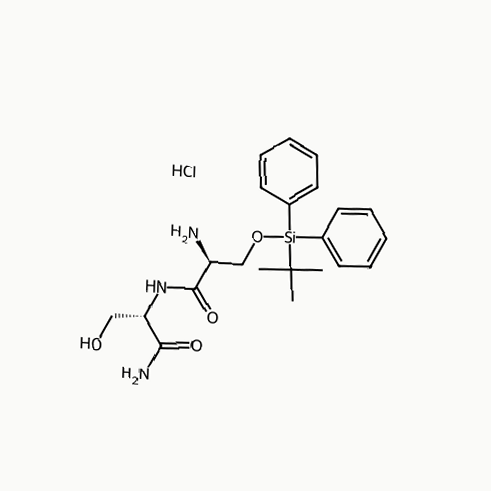 CC(C)(C)[Si](OC[C@H](N)C(=O)N[C@@H](CO)C(N)=O)(c1ccccc1)c1ccccc1.Cl